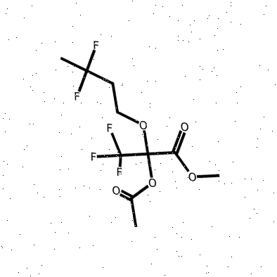 COC(=O)C(OCCC(C)(F)F)(OC(C)=O)C(F)(F)F